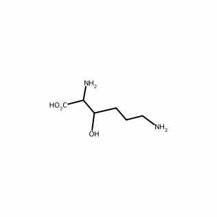 NCCCC(O)C(N)C(=O)O